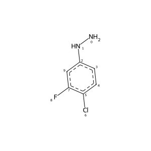 NNc1ccc(Cl)c(F)c1